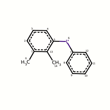 Cc1cccc([I+]c2ccccc2)c1C